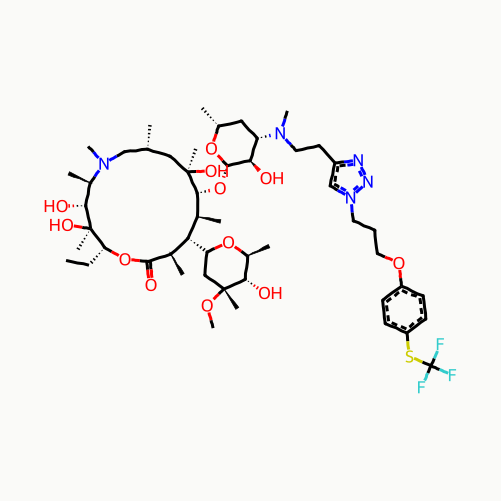 CC[C@H]1OC(=O)[C@H](C)[C@@H](C2C[C@@](C)(OC)[C@@H](O)[C@H](C)O2)[C@H](C)[C@@H](O[C@@H]2O[C@H](C)C[C@H](N(C)CCc3cn(CCCOc4ccc(SC(F)(F)F)cc4)nn3)[C@H]2O)[C@](C)(O)C[C@@H](C)CN(C)[C@H](C)[C@@H](O)[C@]1(C)O